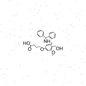 COc1cc(OCCCC(=O)O)ccc1CO.NC(c1ccccc1)c1ccccc1